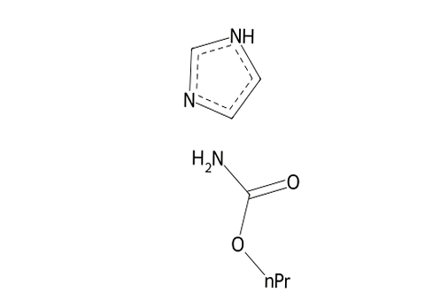 CCCOC(N)=O.c1c[nH]cn1